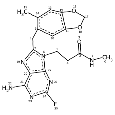 CNC(=O)CCn1c(Cc2cc3c(cc2C)OCO3)nc2c(N)nc(F)nc21